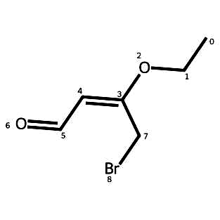 CCOC(=CC=O)CBr